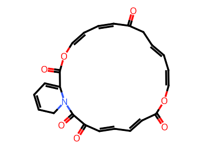 O=C1/C=C\C=C/OC(=O)C2=CC=CCN2C(=O)C(=O)/C=C/C=C/C(=O)O/C=C\C=C\C1